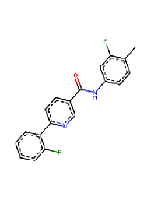 Cc1ccc(NC(=O)c2ccc(-c3ccccc3F)nc2)cc1F